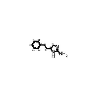 NC1=NCC(CCc2ccccc2)N1